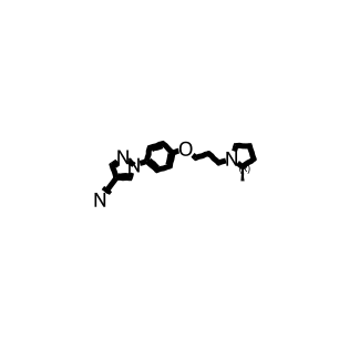 C[C@@H]1CCCN1CCCOc1ccc(-n2cc(C#N)cn2)cc1